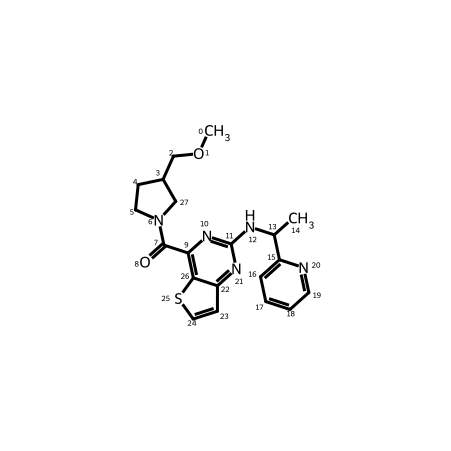 COCC1CCN(C(=O)c2nc(NC(C)c3ccccn3)nc3ccsc23)C1